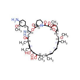 CO[C@H]1C[C@@H]2CC[C@@H](C)[C@@](O)(O2)C(=O)C(=O)N2CCCC[C@H]2C(=O)O[C@H]([C@H](N)C[C@@H]2CC[C@H](N)[C@H](OC)C2)CC(=O)[C@H](C)/C=C(\C)[C@@H](O)[C@@H](O)C(=O)[C@H](C)C[C@H](C)/C=C/C=C/C=C/1C